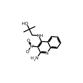 CC(C)(O)CNc1c([N+](=O)[O-])c(N)nc2ccccc12